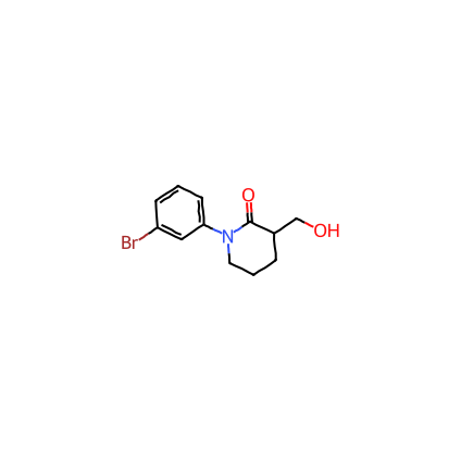 O=C1C(CO)CCCN1c1cccc(Br)c1